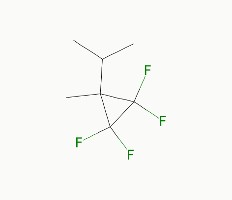 CC(C)C1(C)C(F)(F)C1(F)F